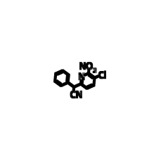 N#CC(c1ccccc1)c1ccc(Cl)c([N+](=O)[O-])n1